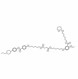 CCCC1CCC(c2ccc(OC(=O)c3ccc(OCCCCCCOC(=O)CCC(=O)OCCCCCCOc4ccc(OCC)c(C(=O)OCCCCCCOC5CCCCO5)c4)cc3)cc2)CC1